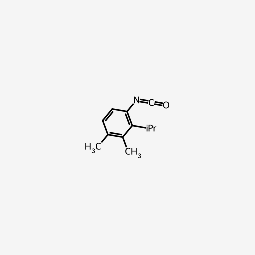 Cc1ccc(N=C=O)c(C(C)C)c1C